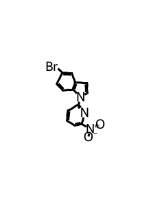 O=[N+]([O-])c1cccc(-n2ccc3cc(Br)ccc32)n1